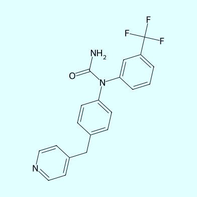 NC(=O)N(c1ccc(Cc2ccncc2)cc1)c1cccc(C(F)(F)F)c1